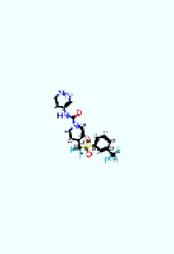 O=C(Nc1ccnnc1)N1CCC(C(F)(F)S(=O)(=O)c2cccc(C(F)(F)F)c2)CC1